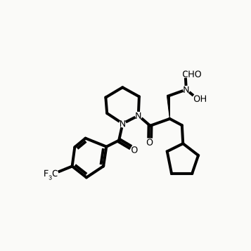 O=CN(O)C[C@@H](CC1CCCC1)C(=O)N1CCCCN1C(=O)c1ccc(C(F)(F)F)cc1